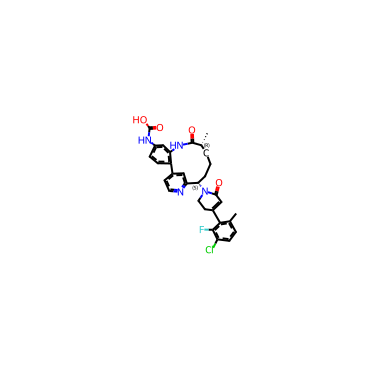 Cc1ccc(Cl)c(F)c1C1=CC(=O)N([C@H]2CCC[C@@H](C)C(=O)Nc3cc(NC(=O)O)ccc3-c3ccnc2c3)CC1